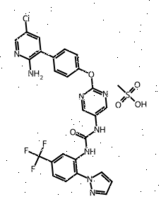 CS(=O)(=O)O.Nc1ncc(Cl)cc1-c1ccc(Oc2ncc(NC(=O)Nc3cc(C(F)(F)F)ccc3-n3cccn3)cn2)cc1